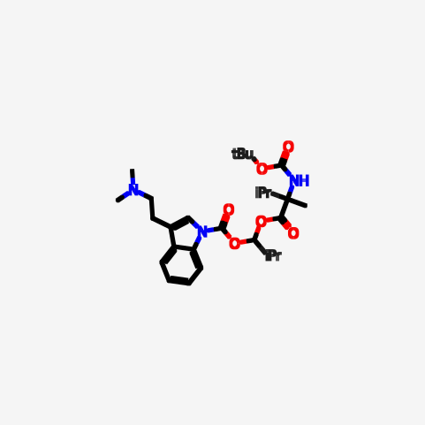 CC(C)C(OC(=O)n1cc(CCN(C)C)c2ccccc21)OC(=O)C(C)(NC(=O)OC(C)(C)C)C(C)C